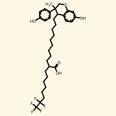 CC1(c2ccc(O)cc2)COc2cc(O)ccc2C1CCCCCCCCCC(CCCCCCC(F)(F)C(F)(F)F)C(=O)O